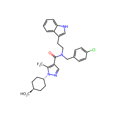 O=C(c1cnn([C@H]2CC[C@H](C(=O)O)CC2)c1C(F)(F)F)N(CCc1c[nH]c2ccccc12)Cc1ccc(Cl)cc1